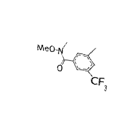 CON(C)C(=O)c1cc(C)cc(C(F)(F)F)c1